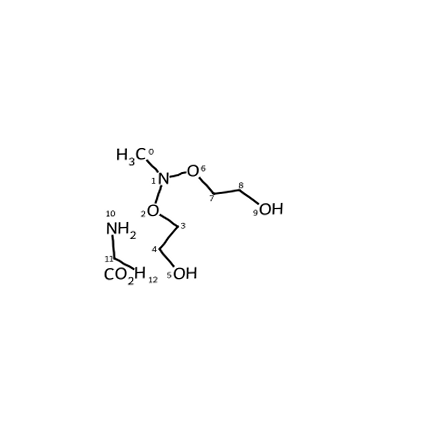 CN(OCCO)OCCO.NCC(=O)O